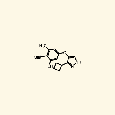 Cc1cc(Oc2c[nH]nc2C2CCC2)cc(C)c1C#N